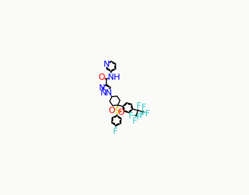 O=C(Nc1cccnc1)c1cn(C2CCC(c3ccc(C(F)(C(F)(F)F)C(F)(F)F)cc3)(S(=O)(=O)c3ccc(F)cc3)CC2)nn1